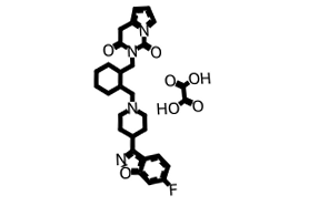 O=C(O)C(=O)O.O=C1Cc2cccn2C(=O)N1CC1CCCCC1CN1CCC(c2noc3cc(F)ccc23)CC1